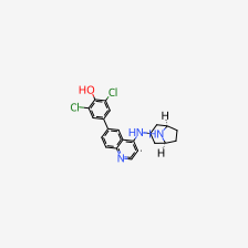 Oc1c(Cl)cc(-c2ccc3nc[c]c(N[C@H]4C[C@H]5CC[C@@H](C4)N5)c3c2)cc1Cl